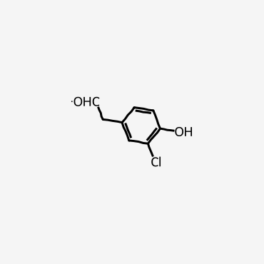 O=[C]Cc1ccc(O)c(Cl)c1